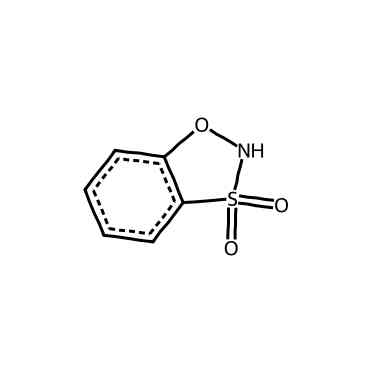 O=S1(=O)NOc2ccccc21